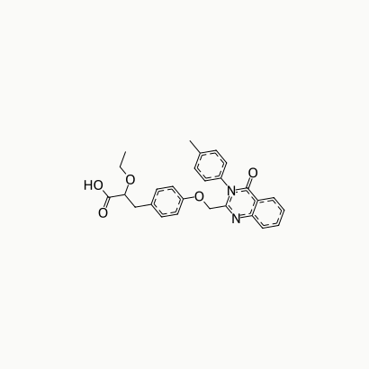 CCOC(Cc1ccc(OCc2nc3ccccc3c(=O)n2-c2ccc(C)cc2)cc1)C(=O)O